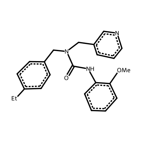 CCc1ccc(CN(Cc2cccnc2)C(=O)Nc2ccccc2OC)cc1